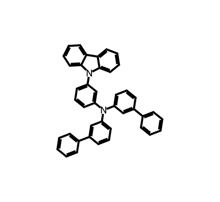 c1ccc(-c2cccc(N(c3cccc(-c4ccccc4)c3)c3cccc(-n4c5ccccc5c5ccccc54)c3)c2)cc1